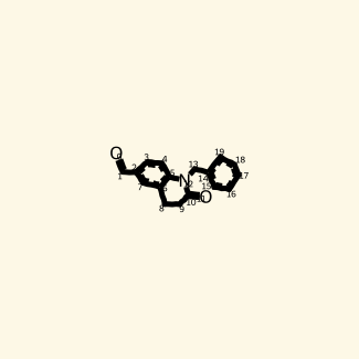 O=Cc1ccc2c(c1)CCC(=O)N2Cc1ccccc1